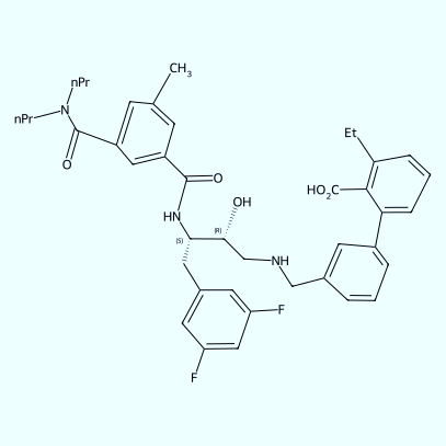 CCCN(CCC)C(=O)c1cc(C)cc(C(=O)N[C@@H](Cc2cc(F)cc(F)c2)[C@H](O)CNCc2cccc(-c3cccc(CC)c3C(=O)O)c2)c1